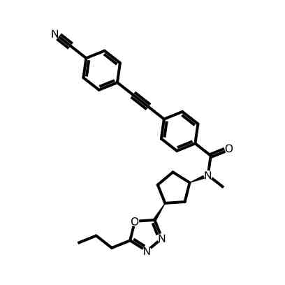 CCCc1nnc([C@H]2CC[C@@H](N(C)C(=O)c3ccc(C#Cc4ccc(C#N)cc4)cc3)C2)o1